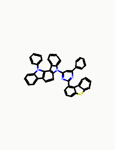 c1ccc(-c2cc(-n3c4ccccc4c4c3ccc3c5ccccc5n(-c5ccccc5)c34)nc(-c3cccc4sc5ccccc5c34)n2)cc1